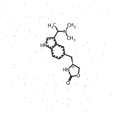 CC(c1c[nH]c2ccc(C[C@H]3COC(=O)N3)cc12)N(C)C